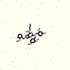 CCCCNc1nc(N(Cc2ccc(OC)cc2OC)Cc2ccc(OC)cc2OC)nc2cn(Cc3ccccc3OC)nc12